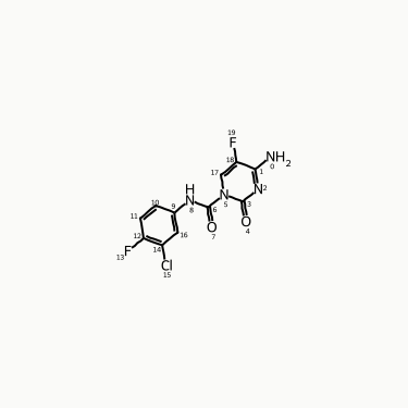 Nc1nc(=O)n(C(=O)Nc2ccc(F)c(Cl)c2)cc1F